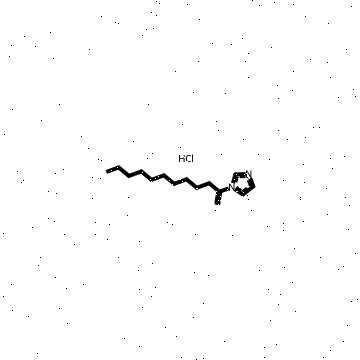 C=C(CCCCCCCCCC)n1ccnc1.Cl